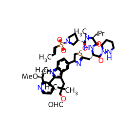 C/C=C/S(=O)(=O)N1CC[C@H](C(=O)N(C)[C@H](C(=O)N[C@@H](CC2=NC(c3ccc4c(c3)c(CC(C)(C)COC=O)c(-c3cccnc3[C@H](C)OC)n4C)CS2)C(=O)N2CCCCN2)C(C)C)C1